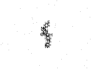 O=c1c2cnn(-c3ccc(F)cc3)c2ncn1CC1(O)CCN(Cc2ccncc2)CC1